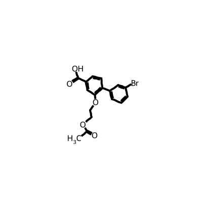 CC(=O)OCCOc1cc(C(=O)O)ccc1-c1cccc(Br)c1